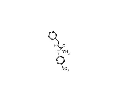 CP(=O)(NCc1ccccc1)Oc1ccc([N+](=O)[O-])cc1